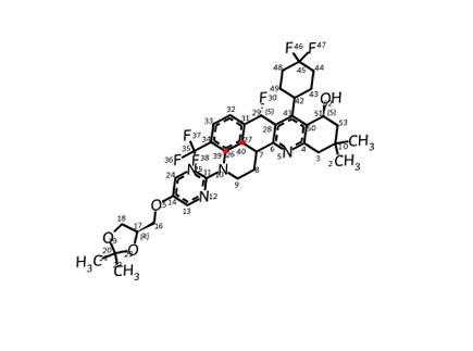 CC1(C)Cc2nc(C3CCN(c4ncc(OC[C@@H]5COC(C)(C)O5)cn4)CC3)c([C@@H](F)c3ccc(C(F)(F)F)cc3)c(C3CCC(F)(F)CC3)c2[C@@H](O)C1